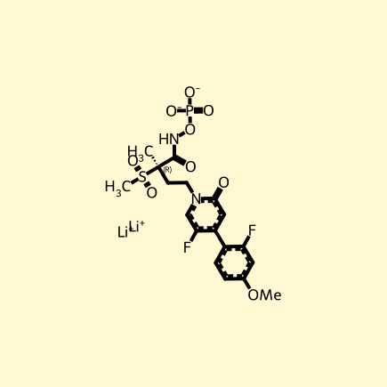 COc1ccc(-c2cc(=O)n(CC[C@](C)(C(=O)NOP(=O)([O-])[O-])S(C)(=O)=O)cc2F)c(F)c1.[Li+].[Li+]